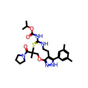 Cc1cc(C)cc(-c2[nH]nc(OCC(C)(C)C(=O)N3CCCC3)c2CCNC(=S)NC(=O)OC(C)C)c1